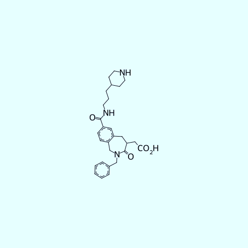 O=C(O)CC1Cc2cc(C(=O)NCCCC3CCNCC3)ccc2CN(Cc2ccccc2)C1=O